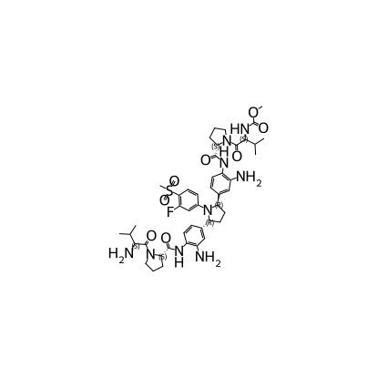 COC(=O)N[C@H](C(=O)N1CCC[C@H]1C(=O)Nc1ccc([C@H]2CC[C@H](c3ccc(NC(=O)[C@@H]4CCCN4C(=O)[C@@H](N)C(C)C)c(N)c3)N2c2ccc(S(C)(=O)=O)c(F)c2)cc1N)C(C)C